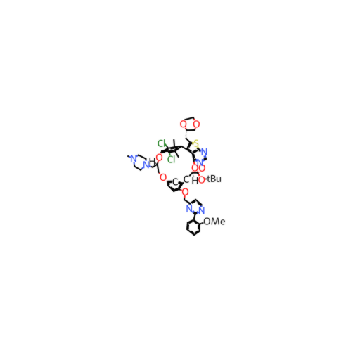 COc1ccccc1-c1nccc(COc2ccc3cc2C[C@H](C(=O)OC(C)(C)C)Oc2ncnc4sc(C[C@H]5COCCO5)c(c24)-c2c(C)c(Cl)c(c(Cl)c2C)O[C@H](CN2CCN(C)CC2)CO3)n1